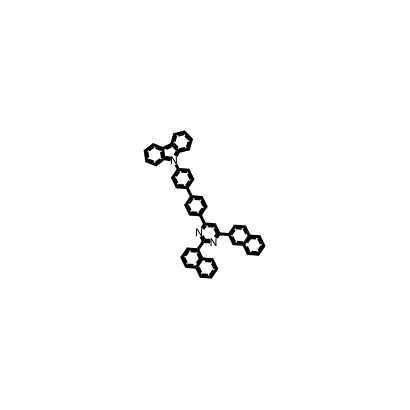 c1ccc2cc(-c3cc(-c4ccc(-c5ccc(-n6c7ccccc7c7ccccc76)cc5)cc4)nc(-c4cccc5ccccc45)n3)ccc2c1